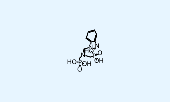 O=P(O)(O)CN(Cn1cnc2ccccc21)CP(=O)(O)O